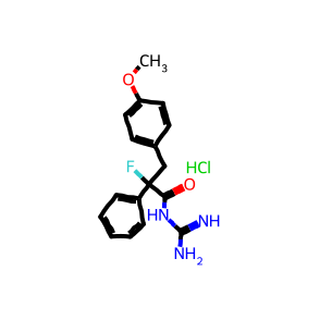 COc1ccc(CC(F)(C(=O)NC(=N)N)c2ccccc2)cc1.Cl